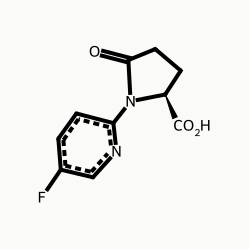 O=C(O)[C@@H]1CCC(=O)N1c1ccc(F)cn1